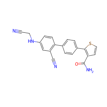 N#CCNc1ccc(-c2ccc(-c3sccc3C(N)=O)cc2)c(C#N)c1